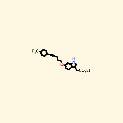 CCOC(=O)Cc1c[nH]c2cc(OCCCC#Cc3ccc(C(F)(F)F)cc3)ccc12